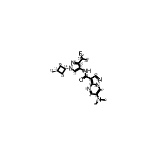 CN(C)c1cnc2c(C(=O)Nc3cn([C@H]4C[C@H](C)C4)nc3C(F)F)cnn2c1